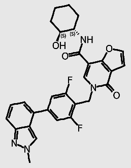 Cn1cc2c(-c3cc(F)c(Cn4cc(C(=O)N[C@H]5CCCC[C@@H]5O)c5occc5c4=O)c(F)c3)cccc2n1